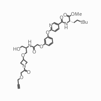 C#CCOCC(=O)N1CC(OCC(CO)NC(=O)COc2cccc(Oc3ccc(C(=O)N[C@@H](CCC(C)(C)C)C(=O)OC)cn3)c2)C1